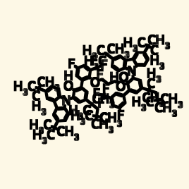 CC(C)(C)CC(C)(C)C1=CC(n2c3ccc(C(C)(C)C)cc3c3cc(C(C)(C)C)ccc32)C(O)(OCCCOc2c(-c3cc(C(C)(C)CC(C)(C)C)cc(-n4c5ccc(C(C)(C)C)cc5c5cc(C(C)(C)C)ccc54)c3O)cc(F)cc2C(F)(F)F)C(c2cc(F)cc(C(F)(F)F)c2)=C1